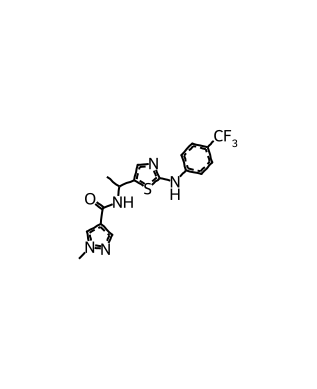 CC(NC(=O)c1cnn(C)c1)c1cnc(Nc2ccc(C(F)(F)F)cc2)s1